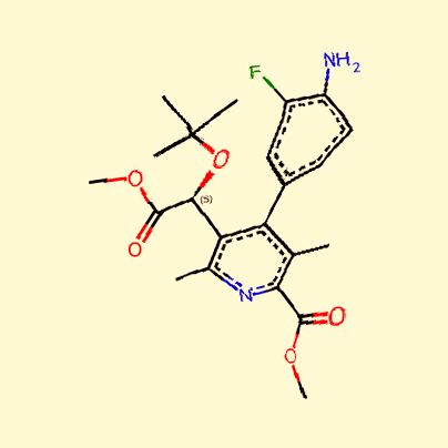 COC(=O)c1nc(C)c([C@H](OC(C)(C)C)C(=O)OC)c(-c2ccc(N)c(F)c2)c1C